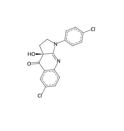 O=C1c2cc(Cl)ccc2N=C2N(c3ccc(Cl)cc3)CC[C@@]12O